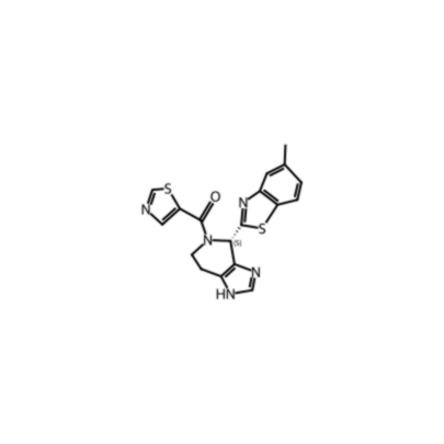 Cc1ccc2sc([C@@H]3c4nc[nH]c4CCN3C(=O)c3cncs3)nc2c1